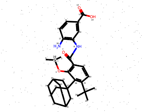 C[SiH](C)Oc1c(C(=O)Nc2cc(C(=O)O)ccc2N)ccc(C(C)(C)C)c1C12CC3CC(CC(C3)C1)C2